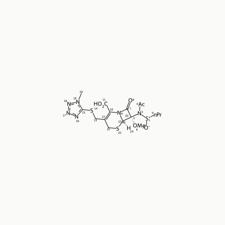 CCC[S+]([O-])N(C(C)=O)[C@]1(OC)C(=O)N2C(C(=O)O)=C(CSc3nnnn3C)CS[C@@H]21